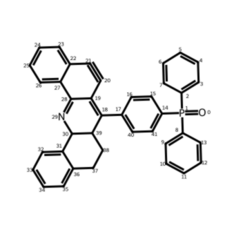 O=P(c1ccccc1)(c1ccccc1)c1ccc(C2=c3c#cc4ccccc4c3=NC3c4ccccc4CCC23)cc1